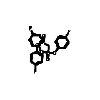 O=[PH](CP(=O)(Oc1ccc(F)cc1)Oc1ccc(F)cc1)Oc1ccc(F)cc1